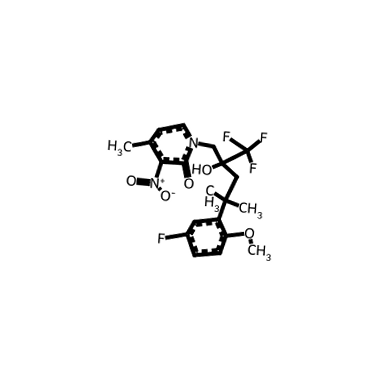 COc1ccc(F)cc1C(C)(C)CC(O)(Cn1ccc(C)c([N+](=O)[O-])c1=O)C(F)(F)F